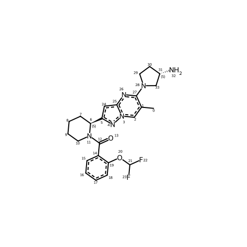 Cc1cn2nc([C@@H]3CCCCN3C(=O)c3ccccc3OC(F)F)cc2nc1N1CC[C@H](N)C1